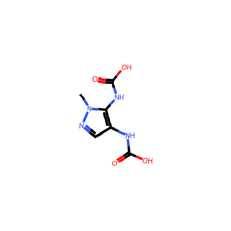 Cn1ncc(NC(=O)O)c1NC(=O)O